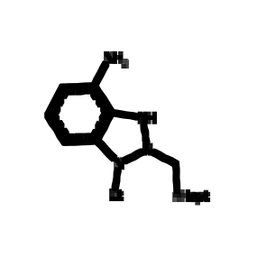 CCCCCCCCN1Nc2c(N)cccc2N1CC